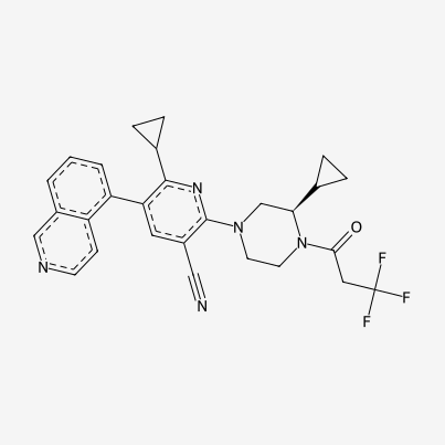 N#Cc1cc(-c2cccc3cnccc23)c(C2CC2)nc1N1CCN(C(=O)CC(F)(F)F)[C@H](C2CC2)C1